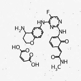 CNC(=O)C=C1C=CC=C(Nc2ncc(F)c(Nc3ccc4c(c3)C(N)CCO4)n2)C1=O.O=C(O)/C=C\C(=O)O